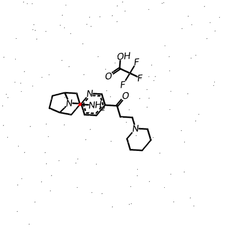 NC1CC2CCC(C1)N2c1ccc(C(=O)CCN2CCCCC2)cn1.O=C(O)C(F)(F)F